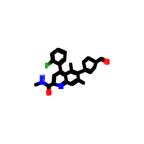 CNC(=O)c1cc(-c2ccccc2F)c2c(C)c(C3=CCC(C=O)CC3)c(C)cc2n1